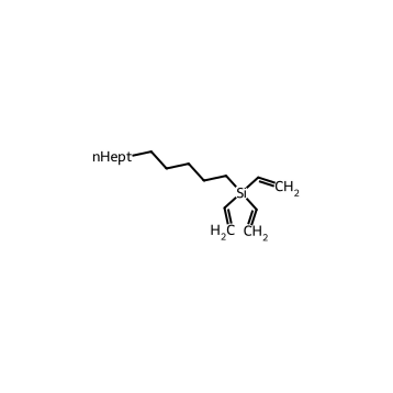 C=C[Si](C=C)(C=C)CCCCCCCCCCCC